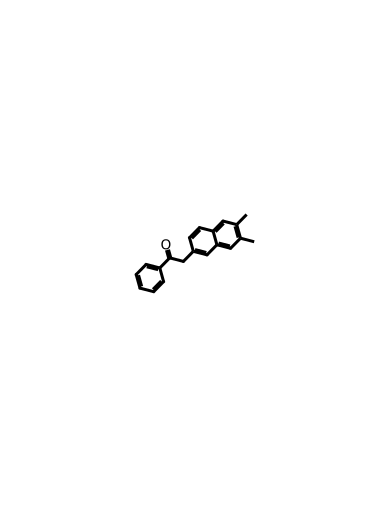 Cc1cc2ccc(CC(=O)c3ccccc3)cc2cc1C